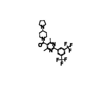 Cc1nc(-c2cc(C(F)(F)F)cc(C(F)(F)F)c2)nc(C)c1C(=O)N1CCC(N2CCCC2)CC1